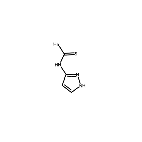 S=C(S)Nc1cc[nH]n1